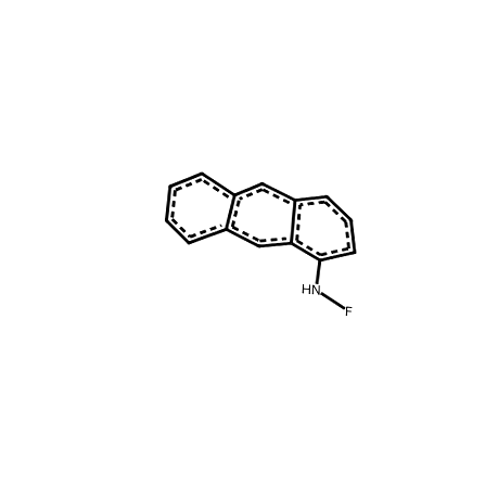 FNc1cccc2cc3ccccc3cc12